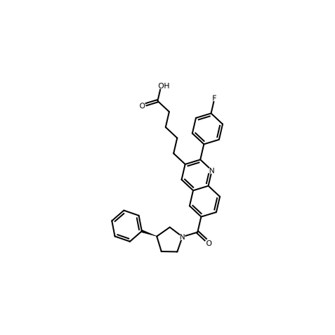 O=C(O)CCCCc1cc2cc(C(=O)N3CC[C@@H](c4ccccc4)C3)ccc2nc1-c1ccc(F)cc1